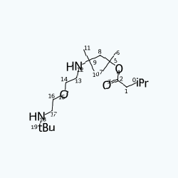 CC(C)CC(=O)OC(C)(C)CC(C)(C)NCCOCCNC(C)(C)C